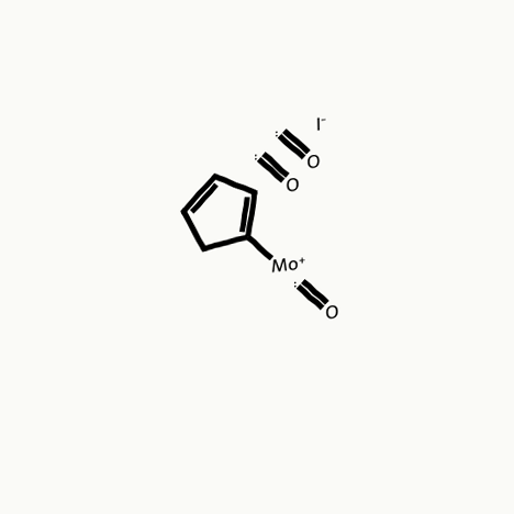 [C]=O.[C]=O.[C]=O.[I-].[Mo+][C]1=CC=CC1